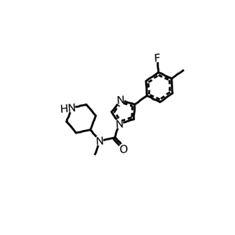 Cc1ccc(-c2cn(C(=O)N(C)C3CCNCC3)cn2)cc1F